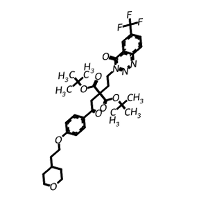 CC(C)(C)OC(=O)C(CCn1nnc2ccc(C(F)(F)F)cc2c1=O)(CC(=O)c1ccc(OCCC2CCOCC2)cc1)C(=O)OC(C)(C)C